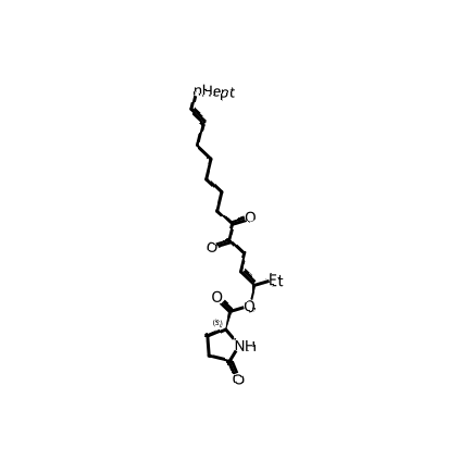 CCCCCCCC=CCCCCCC(=O)C(=O)CC=C(CC)OC(=O)[C@@H]1CCC(=O)N1